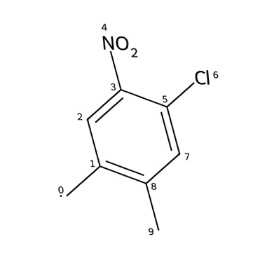 [CH2]c1cc([N+](=O)[O-])c(Cl)cc1C